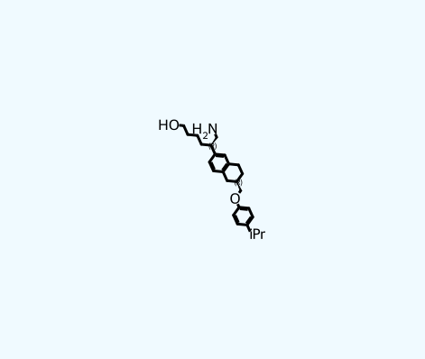 CC(C)c1ccc(OC[C@@H]2CCc3cc([C@H](CN)CCCCO)ccc3C2)cc1